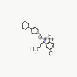 CCC/C(=N\OCc1ccc(C2CCCCC2)cc1)c1cc(Cl)ccc1C(F)(F)F